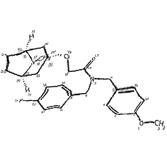 COc1ccc(CN(Cc2ccc(F)cc2)C(=O)CO[C@@H]2C[C@H]3CC[C@@H](C2)N3C)cc1